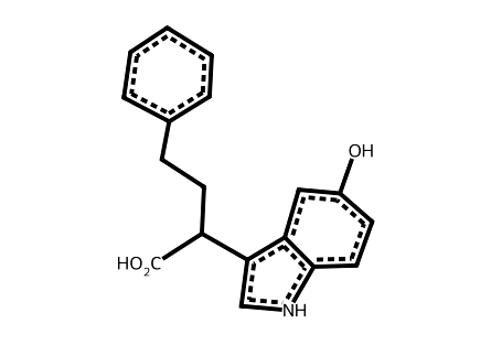 O=C(O)C(CCc1ccccc1)c1c[nH]c2ccc(O)cc12